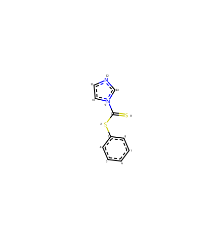 S=C(Sc1ccccc1)n1ccnc1